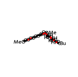 COCCOCCOCCOCCOCCOCCOCCOCCNC(=O)C(COC)NC(=O)CNC(=O)CNC(=O)CNC(=O)CNC(=O)CCNC(=O)CC(C)(C)C